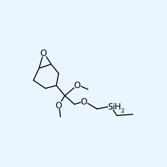 CC[SiH2]COCC(OC)(OC)C1CCC2OC2C1